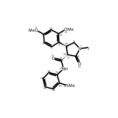 COc1ccc([C@H]2CN(C)C(=O)[C@@H]2C(=O)Nc2ccccc2SC)c(OC)c1